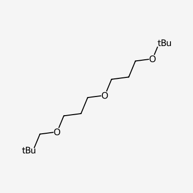 CC(C)(C)COCCCOCCCOC(C)(C)C